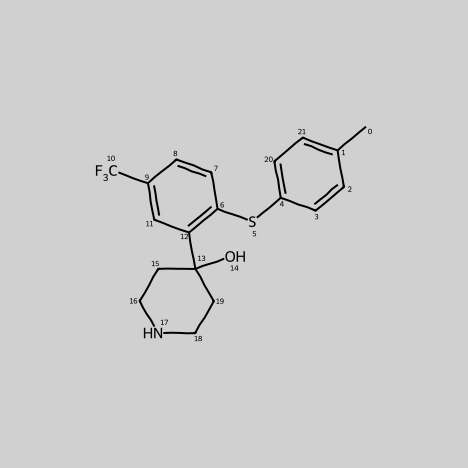 Cc1ccc(Sc2ccc(C(F)(F)F)cc2C2(O)CCNCC2)cc1